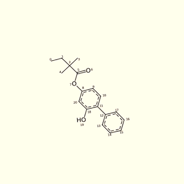 CCC(C)(C)C(=O)Oc1ccc(-c2ccccc2)c(O)c1